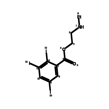 CCNCCOC(=O)c1cc(I)cc(I)c1I